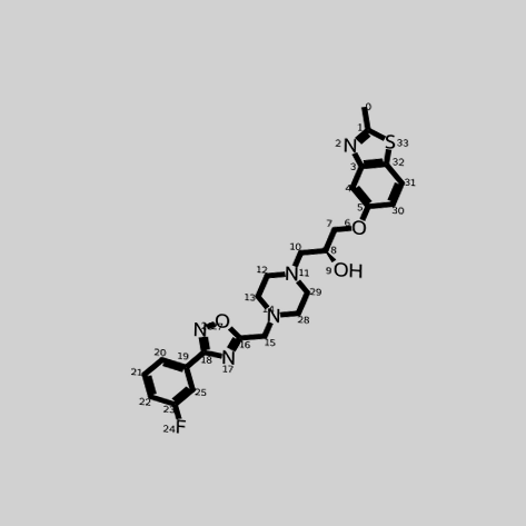 Cc1nc2cc(OC[C@@H](O)CN3CCN(Cc4nc(-c5cccc(F)c5)no4)CC3)ccc2s1